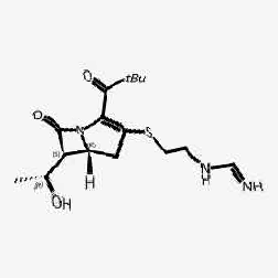 C[C@@H](O)[C@H]1C(=O)N2C(C(=O)C(C)(C)C)=C(SCCNC=N)C[C@H]12